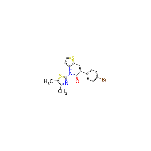 Cc1nc(NC(=O)C(=Cc2cccs2)c2ccc(Br)cc2)sc1C